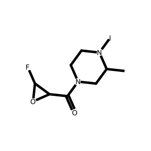 CC1CN(C(=O)C2OC2F)CCN1I